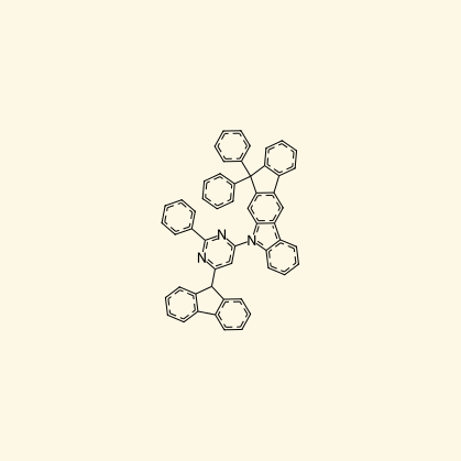 c1ccc(-c2nc(C3c4ccccc4-c4ccccc43)cc(-n3c4ccccc4c4cc5c(cc43)C(c3ccccc3)(c3ccccc3)c3ccccc3-5)n2)cc1